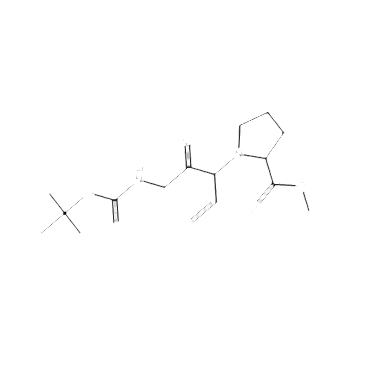 C=CC(C(=O)CNC(=O)OC(C)(C)C)N1CCCC1C(=O)OC